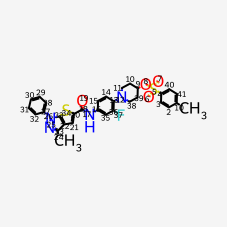 Cc1ccc(S(=O)(=O)OC2CCN(c3ccc(NC(=O)c4cc5c(C)nn(-c6ccccc6)c5s4)cc3F)CC2)cc1